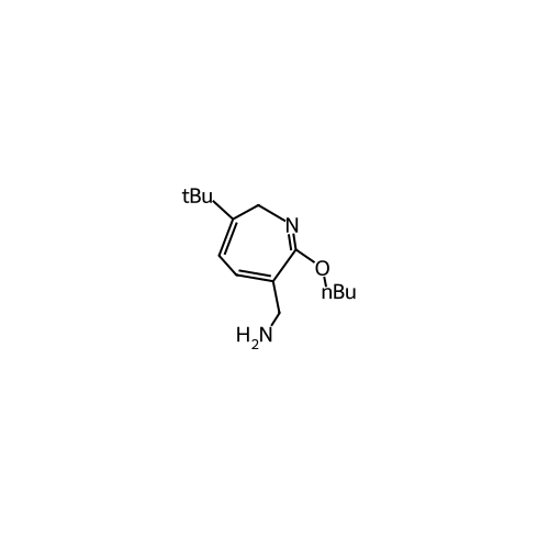 CCCCOC1=NCC(C(C)(C)C)=CC=C1CN